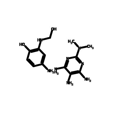 CN(C)c1nc(N)c(N)c(N)n1.Nc1ccc(O)c(NCO)c1